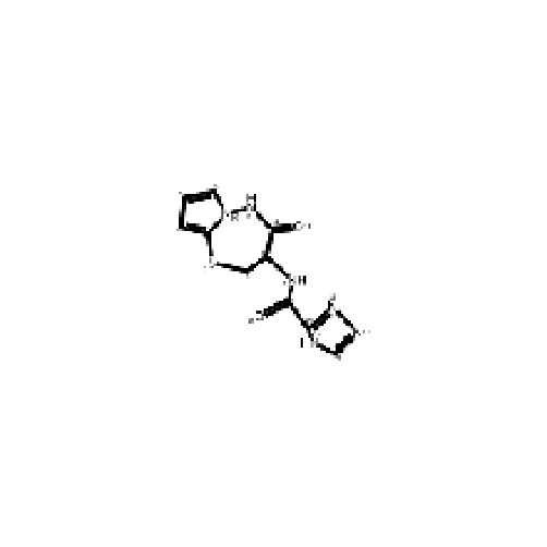 O=C(NC1CSc2cccn2NC1=O)c1nnc[nH]1